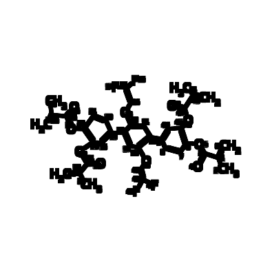 C=C(C)C(=O)Oc1ccc(-c2cc(OC=C(F)F)c(-c3ccc(OC(=O)C(=C)C)c(OC(=O)C(=C)C)c3)cc2OC=C(F)F)cc1OC(=O)C(=C)C